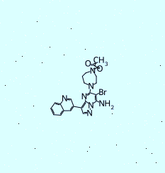 CS(=O)(=O)N1CCCN(c2nc3c(-c4cnc5ccccc5c4)cnn3c(N)c2Br)CC1